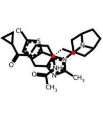 CC(=O)N[C@@H](CCN1C2CCC1CC(n1c(C)nc3c1CCN(C(=O)C1CC1)C3)C2)c1ccc(Cl)s1